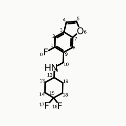 Fc1cc2ccoc2cc1CNC1CCC(F)(F)CC1